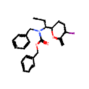 C=C1OC(C(CC)N(Cc2ccccc2)C(=O)OCc2ccccc2)CCC1I